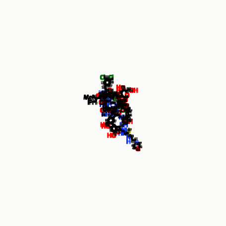 CN[C@H](CC(C)C)C(=O)N[C@H]1C(=O)N[C@@H](CC(N)=O)C(=O)N[C@H]2C(=O)N[C@H]3C(=O)N[C@H](C(=O)N[C@@H](C(=O)NNC(=S)NCCCN4CCOCC4)c4cc(O)cc(O)c4-c4cc3ccc4O)[C@H](O)c3ccc(c(Cl)c3)Oc3cc2cc(c3O[C@@H]2O[C@H](CO)[C@@H](O)[C@H](O)[C@H]2O[C@H]2C[C@](C)(NCCn3ccc(NC(=O)Cc4ccc(Cl)c(Cl)c4)nc3=O)[C@H](O)[C@H](C)O2)Oc2ccc(cc2Cl)[C@H]1O